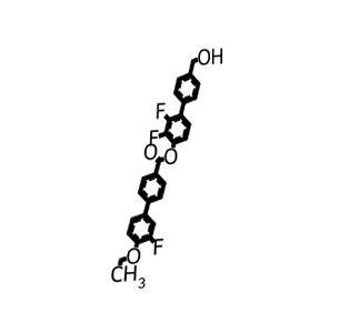 CCOc1ccc(-c2ccc(C(=O)Oc3ccc(-c4ccc(CO)cc4)c(F)c3F)cc2)cc1F